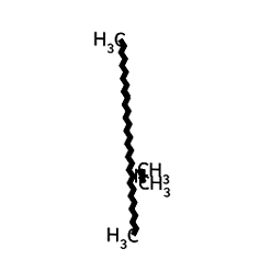 CCCCCCCCC=CCCCCCCCCCCCC(CCCCCCCCC)N(C)C